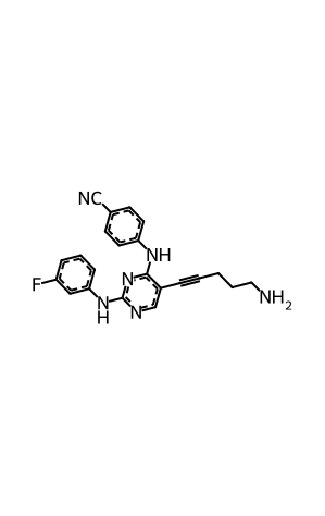 N#Cc1ccc(Nc2nc(Nc3cccc(F)c3)ncc2C#CCCCN)cc1